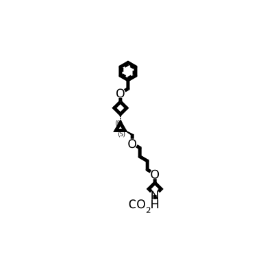 O=C(O)N1CC(OCCCCOC[C@H]2C[C@@H]2C2CC(OCc3ccccc3)C2)C1